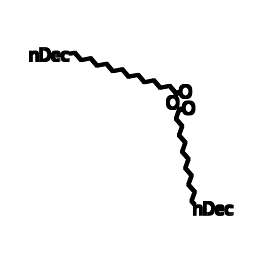 CCCCCCCCCCCCCCCCCCCCCCCC(=O)OC(=O)CCCCCCCCCCCCCCCCCCCCC